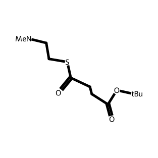 CNCCSC(=O)CCC(=O)OC(C)(C)C